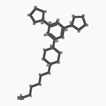 OCCCCCN1CCN(c2cc(N3CCCC3)nc(N3CCCC3)n2)CC1